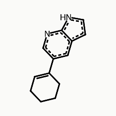 C1=C(c2cnc3[nH]ccc3c2)CCCC1